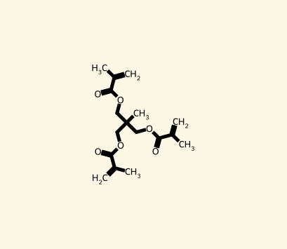 C=C(C)C(=O)OCC(C)(COC(=O)C(=C)C)COC(=O)C(=C)C